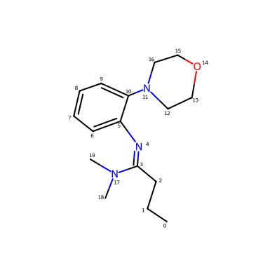 CCCC(=Nc1ccccc1N1CCOCC1)N(C)C